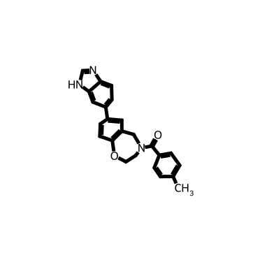 Cc1ccc(C(=O)N2CCOc3ccc(-c4ccc5nc[nH]c5c4)cc3C2)cc1